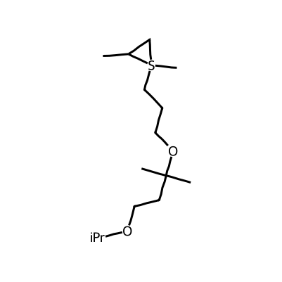 CC(C)OCCC(C)(C)OCCCS1(C)CC1C